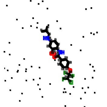 C=C(C)CNc1ccc(NC(=O)c2ccc(OC(F)(F)C(F)Cl)cc2)c(O)c1